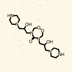 O=C1N(CC(O)CN2CCNCC2)COOCN1CC(O)CN1CCNCC1